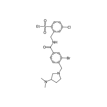 CCS(=O)(=O)c1ccc(Cl)cc1CNC(=O)c1ccc(CN2CCC(N(C)C)C2)c(Br)c1